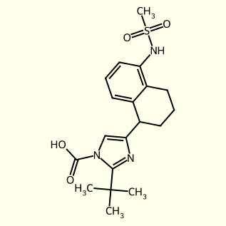 CC(C)(C)c1nc(C2CCCc3c(NS(C)(=O)=O)cccc32)cn1C(=O)O